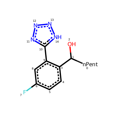 CCCCCC(O)c1ccc(F)cc1-c1nnn[nH]1